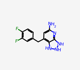 Nc1cc(Cc2ccc(F)c(F)c2)c2c(n1)NNN2